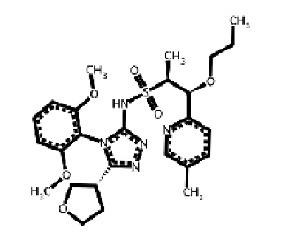 CCCO[C@@H](c1ccc(C)cn1)[C@H](C)S(=O)(=O)Nc1nnc([C@@H]2CCOC2)n1-c1c(OC)cccc1OC